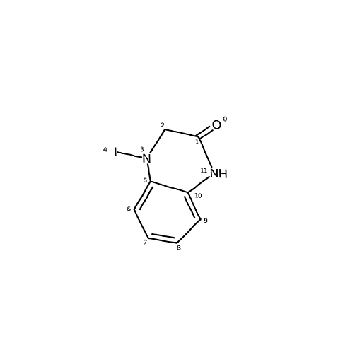 O=C1CN(I)c2ccccc2N1